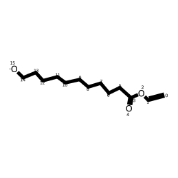 C=COC(=O)CCCCCCCCCC[O]